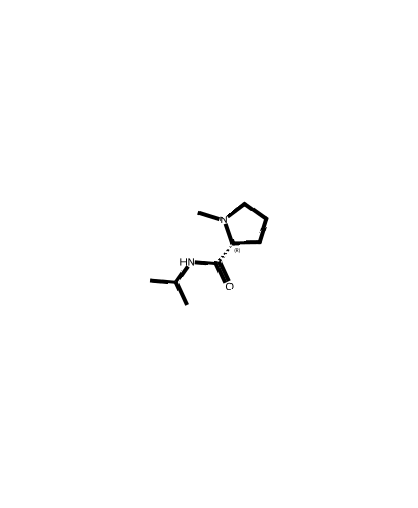 CC(C)NC(=O)[C@H]1CCCN1C